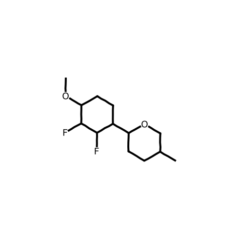 COC1CCC(C2CCC(C)CO2)C(F)C1F